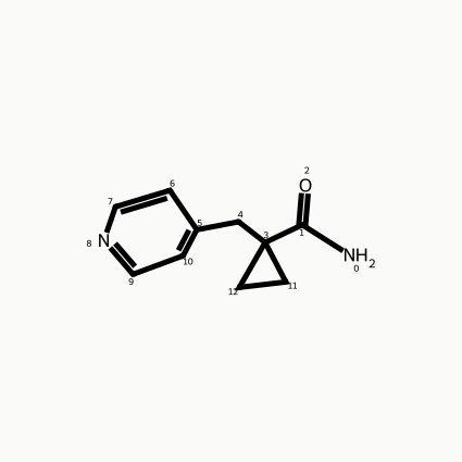 NC(=O)C1(Cc2ccncc2)CC1